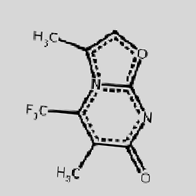 Cc1c(C(F)(F)F)n2c(C)coc2nc1=O